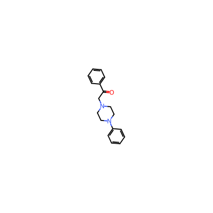 O=C(CN1CCN(c2ccccc2)CC1)c1ccccc1